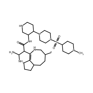 CN1CCC(S(=O)(=O)N2CCN(C3CCNCC3NC(=O)C(/C3=C4\CCCC4CCC(F)CN3)C(N)N)CC2)CC1